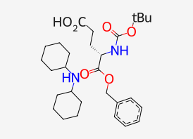 C1CCC(NC2CCCCC2)CC1.CC(C)(C)OC(=O)N[C@@H](CCC(=O)O)C(=O)OCc1ccccc1